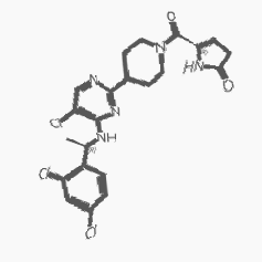 C[C@@H](Nc1nc(C2CCN(C(=O)[C@H]3CCC(=O)N3)CC2)ncc1Cl)c1ccc(Cl)cc1Cl